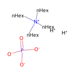 CCCCCC[N+](CCCCCC)(CCCCCC)CCCCCC.O=P([O-])([O-])[O-].[H+].[H+]